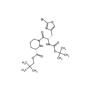 CC(C)(C)COC(=O)[C@@H]1CCCN(C(=O)[C@H](Cc2coc(Br)n2)NC(=O)OC(C)(C)C)N1